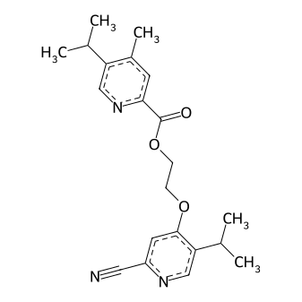 Cc1cc(C(=O)OCCOc2cc(C#N)ncc2C(C)C)ncc1C(C)C